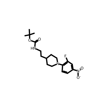 CC(C)(C)OC(=O)NCCC1CCN(c2ccc([N+](=O)[O-])cc2F)CC1